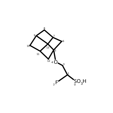 O=S(=O)(O)C(F)COC12CC3CC4CC(C1)C432